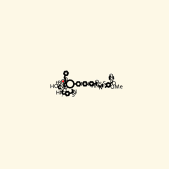 COc1cc(C)c(Sc2cnc(NC(=O)c3ccc(N4CCN(C5CCC(C6CCCCCC(C(=O)OCc7ccccc7)([C@H](C(=O)N7C[C@H](O)C[C@H]7C(=O)N[C@@H](C)c7ccc(-c8scnc8C)cc7)C(C)(C)C)CCCC6)CC5)CC4)cc3)s2)cc1C(=O)N1CCOCC1